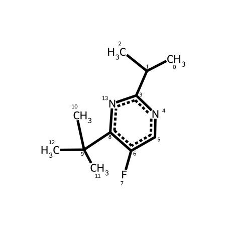 CC(C)c1ncc(F)c(C(C)(C)C)n1